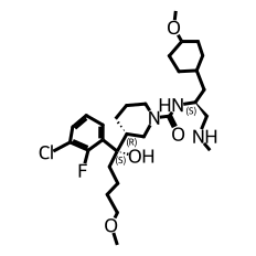 CNC[C@H](CC1CCC(OC)CC1)NC(=O)N1CCC[C@@H]([C@@](O)(CCCCOC)c2cccc(Cl)c2F)C1